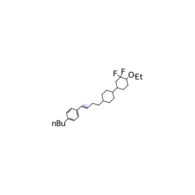 CCCCc1ccc(/C=C/CCC2CCC(C3CCC(OCC)C(F)(F)C3)CC2)cc1